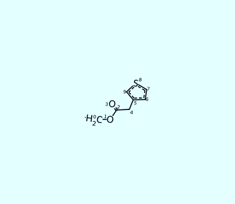 [CH2]OC(=O)Cc1ccsc1